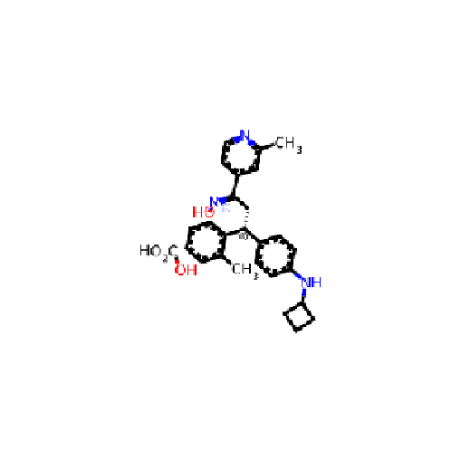 Cc1cc(/C(C[C@H](c2ccc(NC3CCC3)cc2)c2ccccc2C)=N/O)ccn1.O=C(O)O